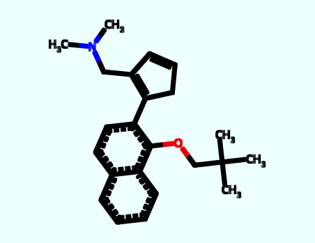 CN(C)CC1=C(c2ccc3ccccc3c2OCC(C)(C)C)CC=C1